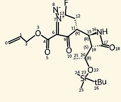 C=CCOC(=O)C(=[N+]=[N-])C(=O)[C@H](CCF)[C@H]1NC(=O)[C@@H]1[C@@H](C)O[Si](C)(C)C(C)(C)C